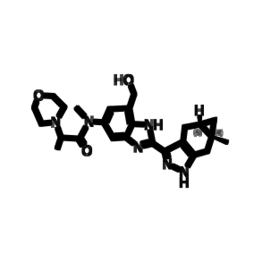 CC(C(=O)N(C)c1cc(CO)c2[nH]c(-c3n[nH]c4c3C[C@@H]3C[C@]3(C)C4)nc2c1)N1CCOCC1